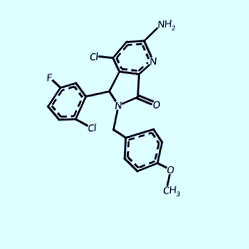 COc1ccc(CN2C(=O)c3nc(N)cc(Cl)c3C2c2cc(F)ccc2Cl)cc1